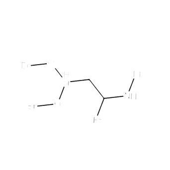 CCNC(CC)C[SiH](OCC)OCC